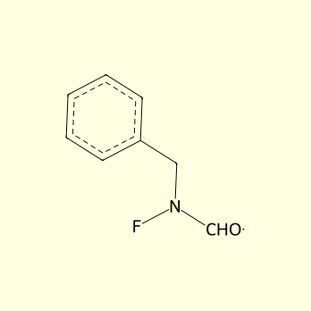 O=[C]N(F)Cc1ccccc1